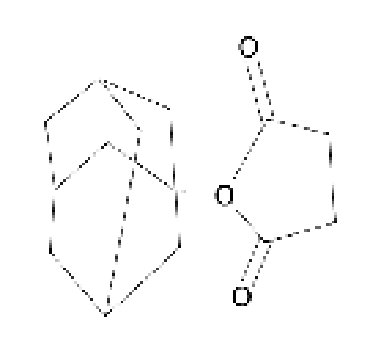 C1[C]2CC3CC1CC(C2)C3.O=C1CCC(=O)O1